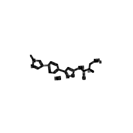 C[C@H](CN)C(=O)Nc1cc(-c2ccc(-c3cnn(C)c3)cc2)no1.Cl